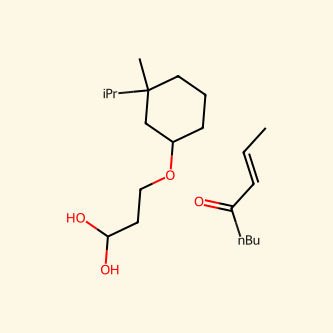 CC(C)C1(C)CCCC(OCCC(O)O)C1.CC=CC(=O)CCCC